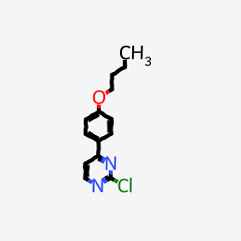 CCCCOc1ccc(-c2ccnc(Cl)n2)cc1